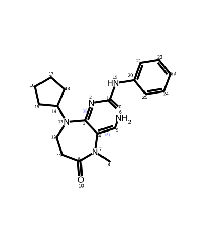 C=C(/N=C1\C(=C/N)N(C)C(=O)CCN1C1CCCC1)Nc1ccccc1